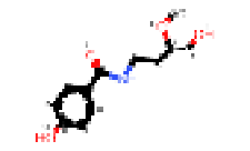 CCO[C@H](CO)CCNC(=O)c1ccc(O)cc1